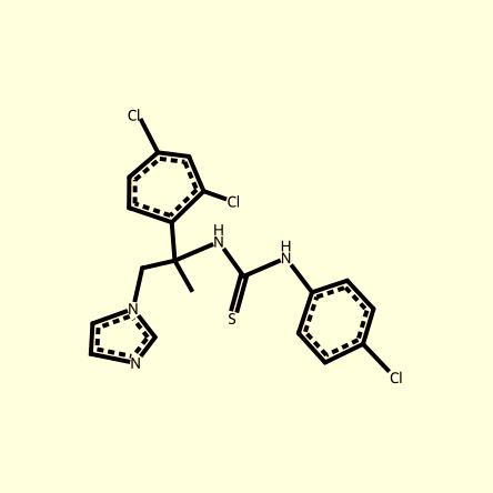 CC(Cn1ccnc1)(NC(=S)Nc1ccc(Cl)cc1)c1ccc(Cl)cc1Cl